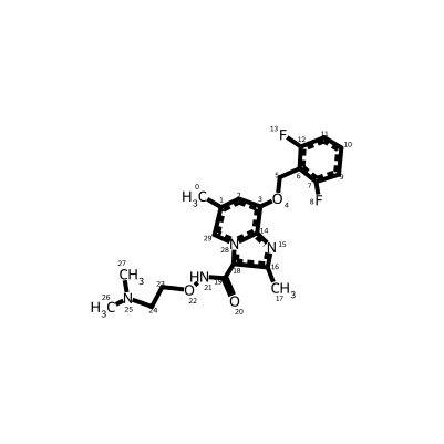 Cc1cc(OCc2c(F)cccc2F)c2nc(C)c(C(=O)NOCCN(C)C)n2c1